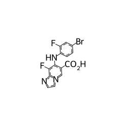 O=C(O)c1cn2ccnc2c(F)c1Nc1ccc(Br)cc1F